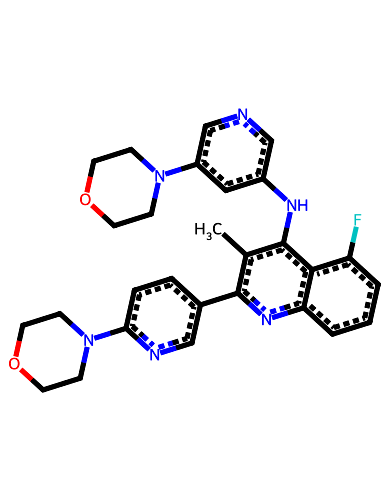 Cc1c(-c2ccc(N3CCOCC3)nc2)nc2cccc(F)c2c1Nc1cncc(N2CCOCC2)c1